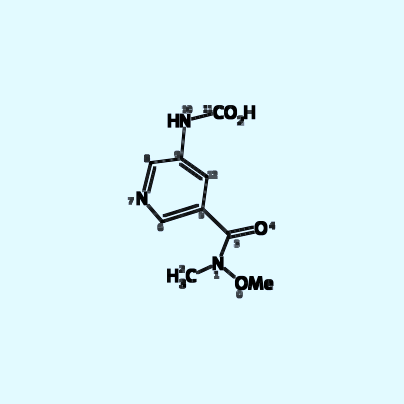 CON(C)C(=O)c1cncc(NC(=O)O)c1